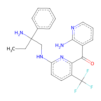 CCC(N)(CNc1ccc(C(F)(F)F)c(C(=O)c2cccnc2N)n1)c1ccccc1